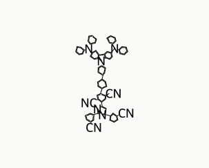 N#Cc1cccc(-c2cc(-c3cc(C#N)c(-c4ccc(-c5ccc(-n6c7ccc(N(c8ccccc8)c8ccccc8)cc7c7cc(N(c8ccccc8)c8ccccc8)ccc76)cc5)cc4)cc3C#N)nc(-c3cccc(C#N)c3)n2)c1